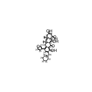 O=C1C2=C(O)[C@]3(O)C(=O)C=C(O)C[C@@H]3C[C@@H]2Cc2c(-c3ccoc3)cc(CN3CCCCC3)c(O)c21